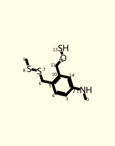 CNc1ccc(CSSC)c(COS)c1